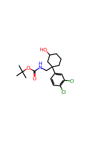 CC(C)(C)OC(=O)NCC1(c2ccc(Cl)c(Cl)c2)CCCC(O)C1